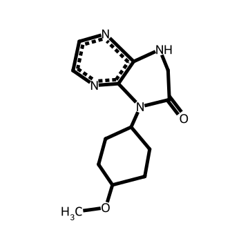 COC1CCC(N2C(=O)CNc3nccnc32)CC1